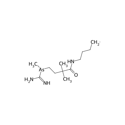 [CH2]CCCNC(=O)C(C)(C)CC[As](C)C(=N)N